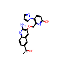 C[C@H](O)c1ccc2nc(N)c(OCc3nc(O)ccc3-n3cccn3)cc2c1